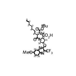 C=CCCCCCC(NC(=O)OC(C)(C)C)C(=O)N1C[C@H](Oc2nc3cc(OC)ccc3nc2C(F)(F)F)C[C@H]1C(=O)O